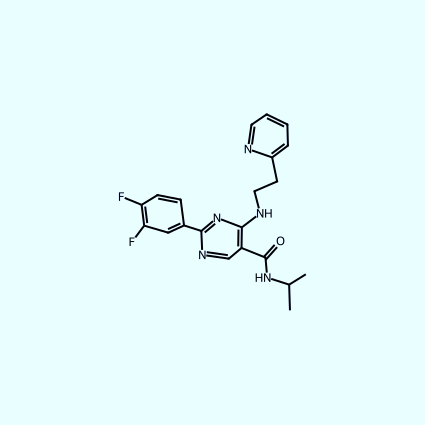 CC(C)NC(=O)c1cnc(-c2ccc(F)c(F)c2)nc1NCCc1ccccn1